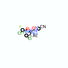 CC(=O)Cn1c(C(=O)Nc2ccc(C#N)cn2)nc(NC(=O)c2cc(F)cc(Cl)c2)c1[C@@H](C)c1cc(F)ccc1Cl